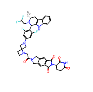 C[C@@H]1Cc2c([nH]c3ccccc23)[C@@H](c2c(F)cc(N3CC4(CCN4CC(=O)N4Cc5cc6c(cc5C4)C(=O)N(C4CCC(=O)NC4=O)C6=O)C3)cc2F)N1CC(F)F